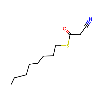 CCCCCCCCSC(=O)CC#N